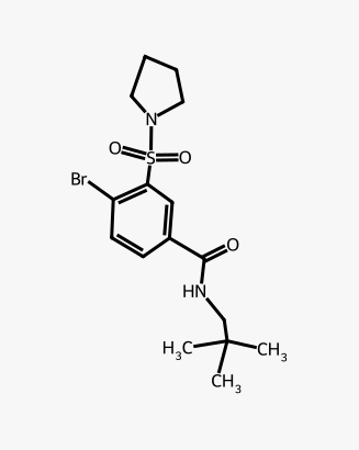 CC(C)(C)CNC(=O)c1ccc(Br)c(S(=O)(=O)N2CCCC2)c1